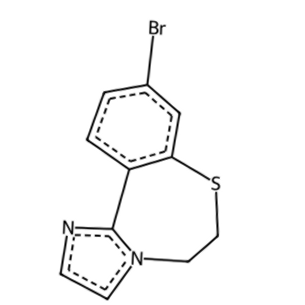 Brc1ccc2c(c1)SCCn1ccnc1-2